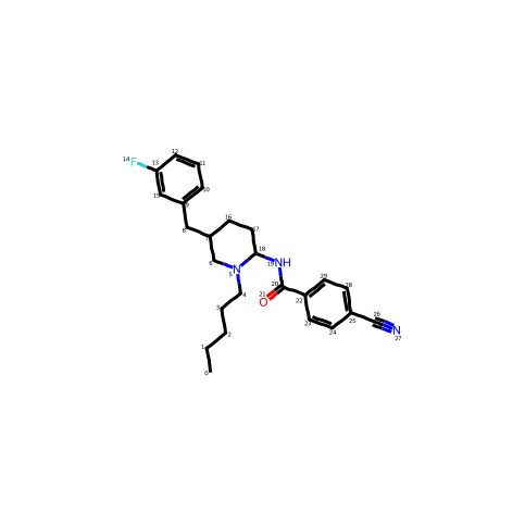 CCCCCN1CC(Cc2cccc(F)c2)CCC1NC(=O)c1ccc(C#N)cc1